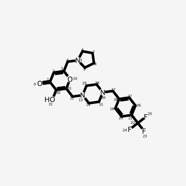 O=c1cc(CN2CCCC2)oc(CN2CCN(Cc3ccc(C(F)(F)F)cc3)CC2)c1O